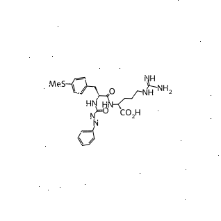 CSc1ccc(C[C@H](NC(=O)N=Nc2ccccc2)C(=O)N[C@@H](CCCNC(=N)N)C(=O)O)cc1